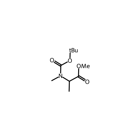 COC(=O)C(C)N(C)C(=O)OC(C)(C)C